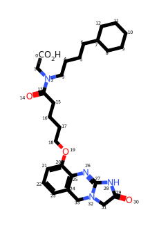 O=C(O)CN(CCCCC1CCCCC1)C(=O)CCCCOc1cccc2c1N=C1NC(=O)CN1C2